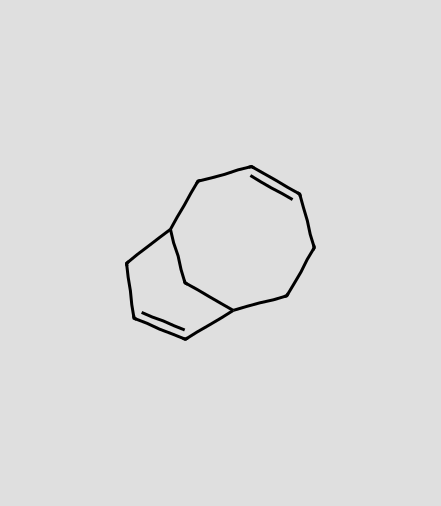 C1=CC2CC/C=C\CC(C1)C2